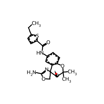 CCc1ccc(C(=O)Nc2ccc3c(c2)C2(COC(N)=N2)C2(COC2)C(C)(C)O3)s1